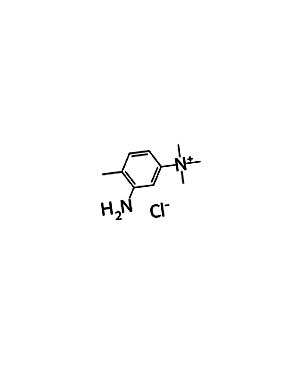 Cc1ccc([N+](C)(C)C)cc1N.[Cl-]